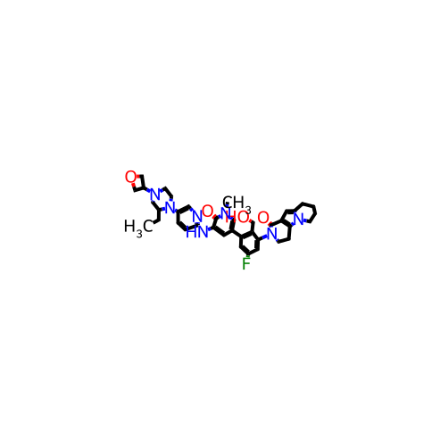 CCC1CN(C2COC2)CCN1c1ccc(Nc2cc(-c3cc(F)cc(N4CCc5c(cc6n5CCCC6)C4=O)c3CO)cn(C)c2=O)nc1